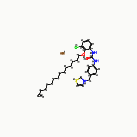 Br.CCCCCCCCCCCCCCOc1c(Cl)cccc1NC(=O)Nc1ccc(CN2C=CSC2)cc1